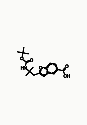 CC(C)(Cc1cc2cc(C(=O)O)ccc2o1)NC(=O)OC(C)(C)C